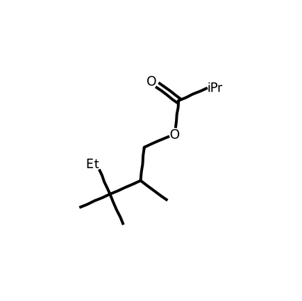 CCC(C)(C)C(C)COC(=O)C(C)C